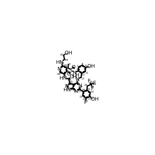 CCS(=O)(=O)Nc1ccc(O)cc1CNc1nc(-c2cc(F)c(O)cc2CC(F)(F)F)nc2[nH]nc(C(=O)Nc3ccc(NCCO)nc3)c12